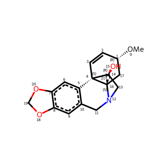 CO[C@H]1C=C[C@@]23c4cc5c(cc4CN(C[C@@H]2O)[C@H]3C1)OCO5